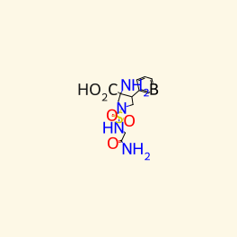 NC(=O)CNS(=O)(=O)N1CC(c2cbccc2)C(N)(C(=O)O)C1